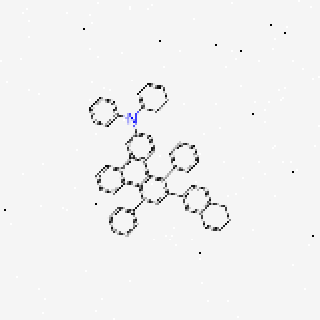 C1=CCCC(N(c2ccccc2)c2ccc3c(c2)c2ccccc2c2c(-c4ccccc4)cc(-c4ccc5c(c4)C=CCC5)c(-c4ccccc4)c32)=C1